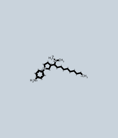 CCCCCCCCCC(C1CCN(c2ccc(N)cc2)C1)N(C)C